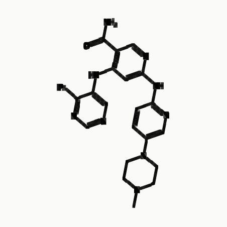 CC(C)c1ncncc1Nc1cc(Nc2ccc(N3CCN(C)CC3)cn2)ncc1C(N)=O